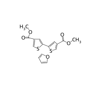 COC(=O)c1csc(-c2cc(C(=O)OC)cs2)c1.c1ccoc1